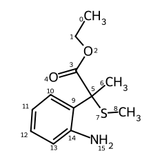 CCOC(=O)C(C)(SC)c1ccccc1N